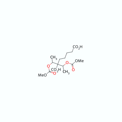 COC(=O)OC(C)C(CCCCC(=O)O)(C(=O)O)C(C)OC(=O)OC